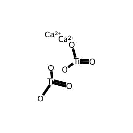 [Ca+2].[Ca+2].[O]=[Ti]([O-])[O-].[O]=[Ti]([O-])[O-]